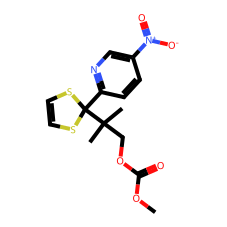 COC(=O)OCC(C)(C)C1(c2ccc([N+](=O)[O-])cn2)SC=CS1